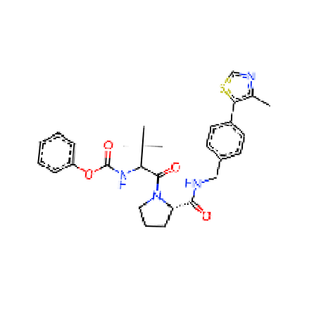 Cc1ncsc1-c1ccc(CNC(=O)[C@@H]2CCCN2C(=O)C(NC(=O)Oc2ccccc2)C(C)(C)C)cc1